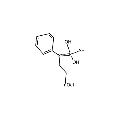 CCCCCCCCCCS(c1ccccc1)=P(O)(O)S